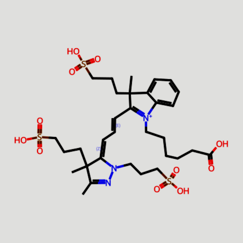 CC1=NN(CCCS(=O)(=O)O)/C(=C\C=C\C2=[N+](CCCCCC(=O)O)c3ccccc3C2(C)CCCS(=O)(=O)O)C1(C)CCCS(=O)(=O)O